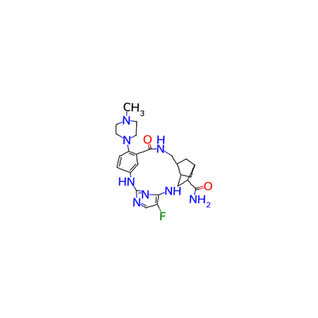 CN1CCN(c2ccc3cc2C(=O)NCC2CC4CC2C(Nc2nc(ncc2F)N3)C4C(N)=O)CC1